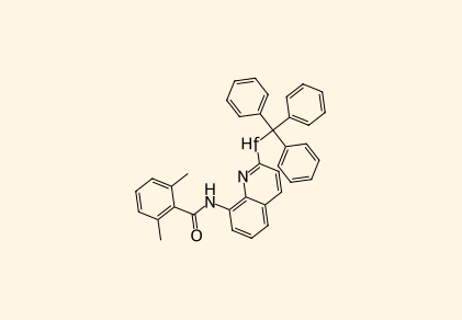 Cc1cccc(C)c1C(=O)Nc1cccc2cc[c]([Hf][C](c3ccccc3)(c3ccccc3)c3ccccc3)nc12